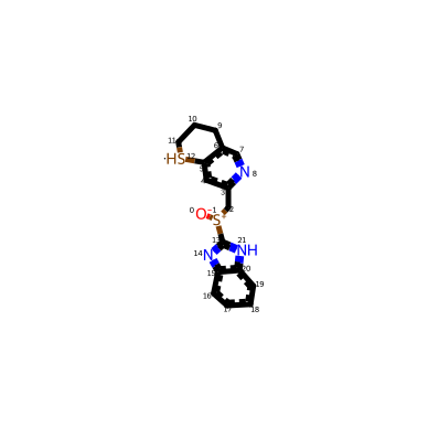 [O-][S+](Cc1cc2c(cn1)CCC[SH]2)c1nc2ccccc2[nH]1